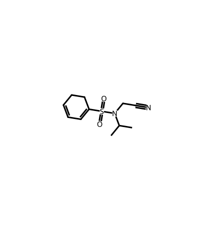 CC(C)N(CC#N)S(=O)(=O)C1=CC=CCC1